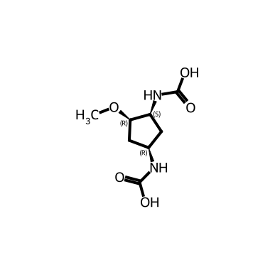 CO[C@@H]1C[C@H](NC(=O)O)C[C@@H]1NC(=O)O